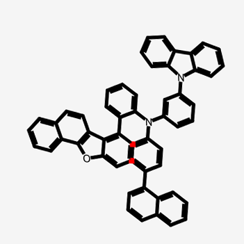 c1cc(N(c2ccc(-c3cccc4ccccc34)cc2)c2ccccc2-c2cccc3oc4c5ccccc5ccc4c23)cc(-n2c3ccccc3c3ccccc32)c1